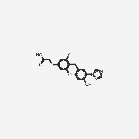 O=C(O)COc1cc(Cl)c(Cc2ccc(O)c(-n3cncn3)c2)c(Cl)c1